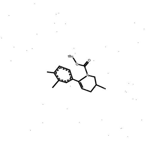 Cc1ccc(C2=CCC(C)CN2C(=O)OC(C)(C)C)cc1C